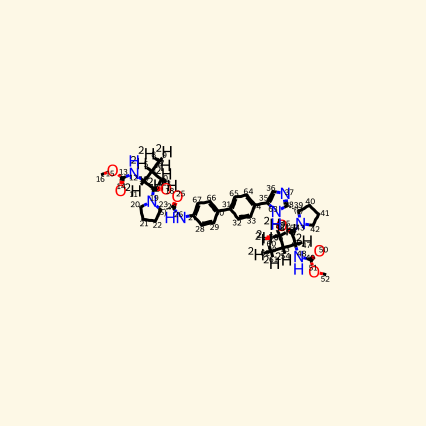 [2H]C([2H])([2H])C([2H])(C([2H])([2H])[2H])C([2H])(NC(=O)OC)C(=O)N1CCC[C@H]1C(=O)Nc1ccc(-c2ccc(-c3cnc([C@@H]4CCCN4C(=O)C([2H])(NC(=O)OC)C([2H])(C([2H])([2H])[2H])C([2H])([2H])[2H])[nH]3)cc2)cc1